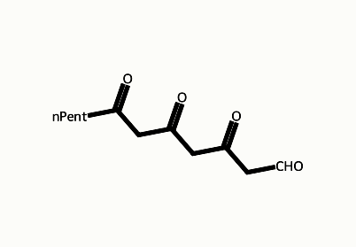 CCCCCC(=O)CC(=O)CC(=O)CC=O